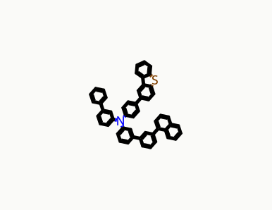 c1ccc(-c2cccc(N(c3ccc(-c4ccc5sc6ccccc6c5c4)cc3)c3cccc(-c4cccc(-c5cccc6ccccc56)c4)c3)c2)cc1